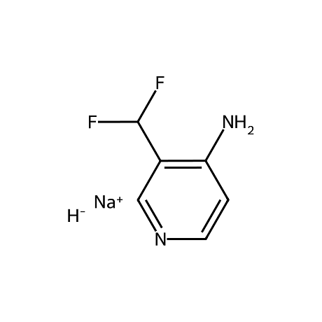 Nc1ccncc1C(F)F.[H-].[Na+]